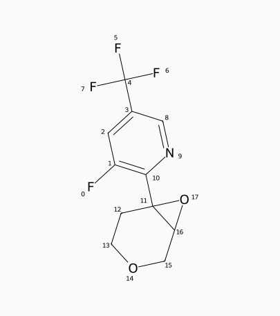 Fc1cc(C(F)(F)F)cnc1C12CCOCC1O2